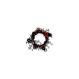 CC1[C@@H]2C(=O)N1[C@@H](Cc1c[nH]c3ccccc13)C(=O)N[C@H](C(=O)N1CCCCC1)CC(=O)N[C@@H]1C(=O)N[C@H](C(=O)N(C)[C@@H](Cc3ccccc3)C(=O)N[C@@](C)(Cc3c[nH]c4ccccc34)C(=O)C3CCC[C@H]3C(=O)N(C)CC(=O)N(C)[C@@H](Cc3ccc(Cl)cc3)C(=O)N[C@@H](CCS(C)(=O)=O)C(=O)N2C)C1CS(C)(=O)=O